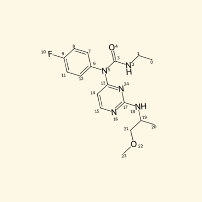 CCNC(=O)N(c1ccc(F)cc1)c1ccnc(NC(C)COC)n1